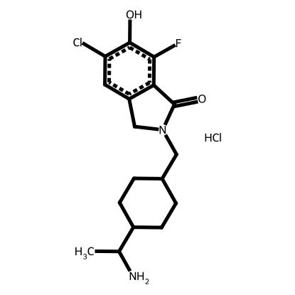 CC(N)C1CCC(CN2Cc3cc(Cl)c(O)c(F)c3C2=O)CC1.Cl